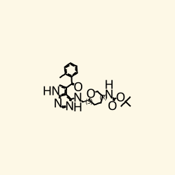 Cc1ccccc1C(=O)c1c[nH]c2ncnc(NC[C@@H]3CC[C@@H](NC(=O)OC(C)(C)C)CO3)c12